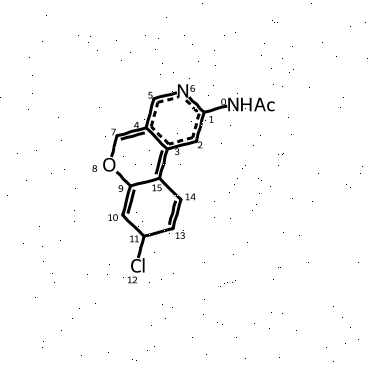 CC(=O)Nc1cc2c(cn1)=COC1=CC(Cl)C=CC=21